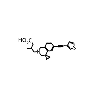 CC(CC(=O)O)CN1Cc2ccc(C#Cc3ccsc3)cc2C2(CC2)C1